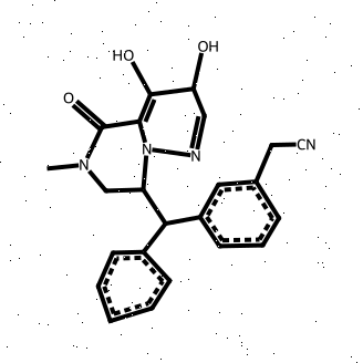 CN1CC(C(c2ccccc2)c2cccc(CC#N)c2)N2N=CC(O)C(O)=C2C1=O